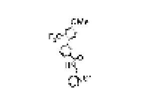 COc1ccc(-c2cccc(C(=O)NCc3cccc[n+]3[O-])c2)c(C(F)(F)F)c1